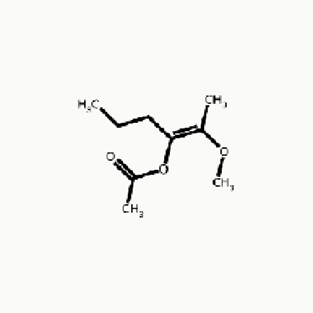 CCC/C(OC(C)=O)=C(\C)OC